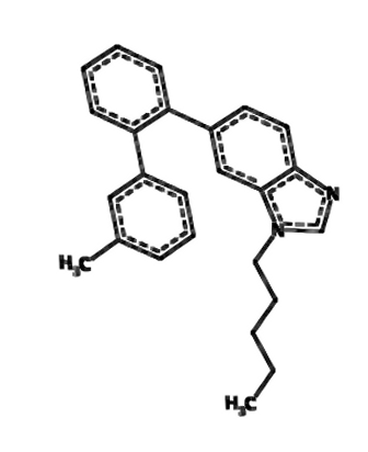 CCCCCn1cnc2ccc(-c3ccccc3-c3cccc(C)c3)cc21